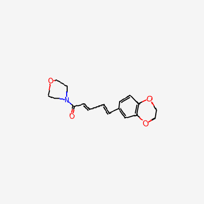 O=C(/C=C/C=C/c1ccc2c(c1)OCCO2)N1CCOCC1